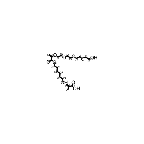 C=C(C)C(=O)O.C=C(OCCOCCOCCOCCO)C(=O)OCCCCCCO